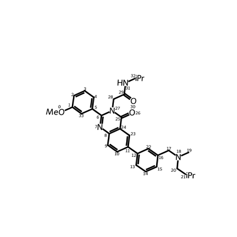 COc1cccc(-c2nc3ccc(-c4cccc(CN(C)CC(C)C)c4)cc3c(=O)n2CC(=O)NC(C)C)c1